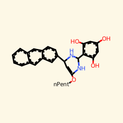 CCCCCOC1=CC(c2ccc3cc4ccccc4cc3c2)NC(c2c(O)cc(O)cc2O)N1